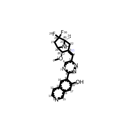 CO[C@@H]1/C(=C\c2cnc(-c3cc4ccncc4cc3O)nn2)C[C@@]2(C)NC1CC2(F)F